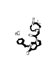 C[C@@H]1CN(CC(=O)N2CCc3cc(=O)n(Cc4ccccc4)cc32)CCN1.Cl